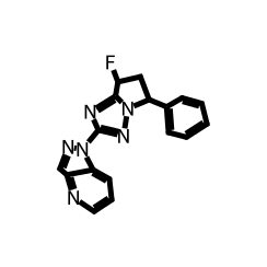 FC1CC(c2ccccc2)n2nc(-n3ncc4ncccc43)nc21